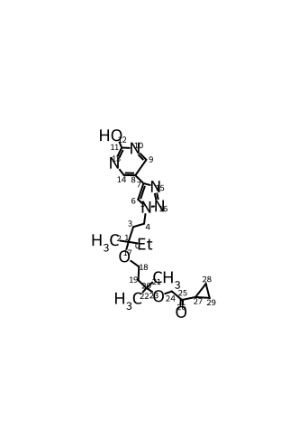 CCC(C)(CCn1cc(-c2cnc(O)nc2)nn1)OCCC(C)(C)OCC(=O)C1CC1